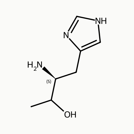 CC(O)[C@@H](N)Cc1c[nH]cn1